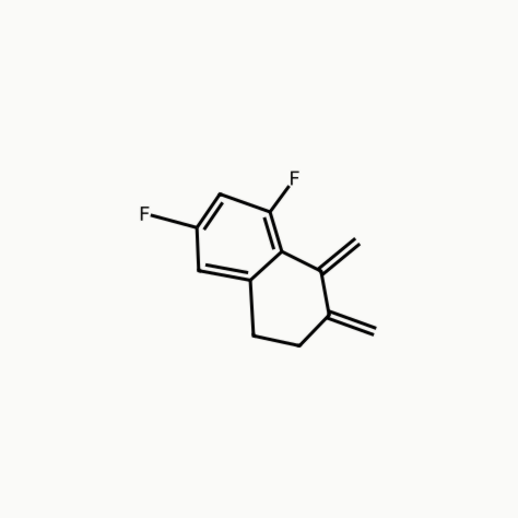 C=C1CCc2cc(F)cc(F)c2C1=C